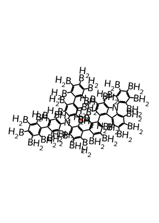 Bc1c(B)c(B)c(-c2c(B)c(B)c(N(c3c(B)c(B)c(-c4c(B)c(B)c(B)c(B)c4B)c(B)c3B)c3c(B)c(B)c(B)c(-c4c(B)c(B)c(B)c(-c5c(B)c(B)c(B)c6c5c5c(B)c(B)c(B)c(B)c5n6-c5c(B)c(B)c(B)c(B)c5B)c4B)c3B)c(B)c2B)c(B)c1B